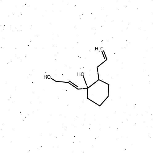 C=CCC1CCCCC1(O)C=CCO